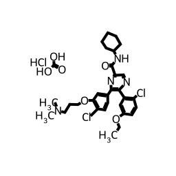 CCOc1ccc(Cl)c(-c2ncc(C(=O)NC3CCCCC3)nc2-c2ccc(Cl)c(OCCCN(C)C)c2)c1.Cl.O=C(O)O